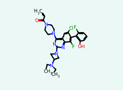 C=CC(=O)N1CCN(c2nc(N3CC(N(CC)CC)C3)nc3c(F)c(-c4c(O)cccc4F)c(Cl)cc23)CC1